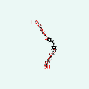 OCCOCCOCCOCCOc1ccc(CCCc2ccc(OCCOCCOCCOCCO)cc2)cc1